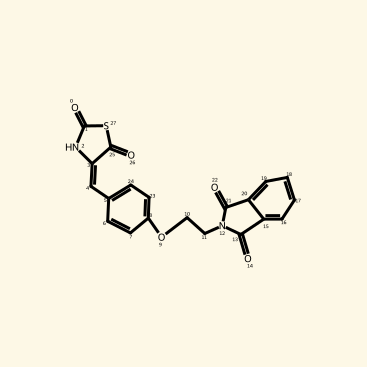 O=C1NC(=Cc2ccc(OCCN3C(=O)c4ccccc4C3=O)cc2)C(=O)S1